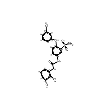 NS(=O)(=O)c1cc(NC(=O)Cc2cccc(Cl)c2Cl)ccc1Oc1cccc(Cl)c1